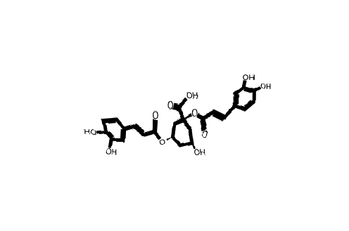 O=C(/C=C/c1ccc(O)c(O)c1)O[C@H]1C[C@H](O)C[C@@](OC(=O)/C=C/c2ccc(O)c(O)c2)(C(=O)O)C1